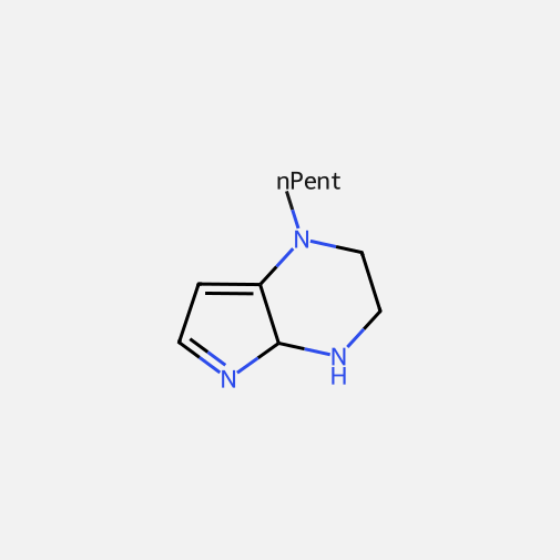 CCCCCN1CCNC2N=CC=C21